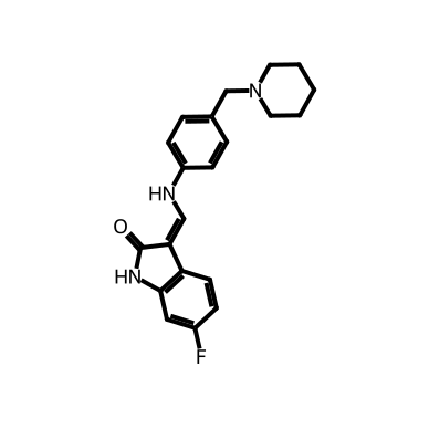 O=C1Nc2cc(F)ccc2C1=CNc1ccc(CN2CCCCC2)cc1